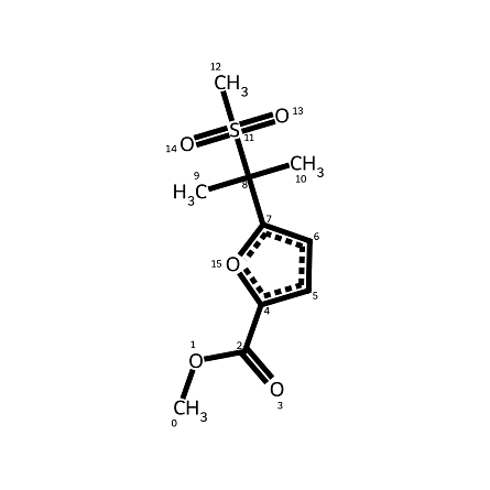 COC(=O)c1ccc(C(C)(C)S(C)(=O)=O)o1